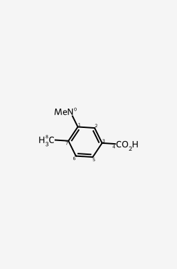 CNc1cc(C(=O)O)ccc1C